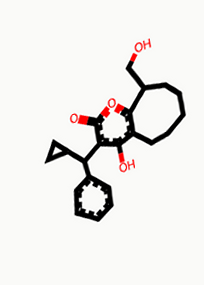 O=c1oc2c(c(O)c1C(c1ccccc1)C1CC1)CCCCCC2CO